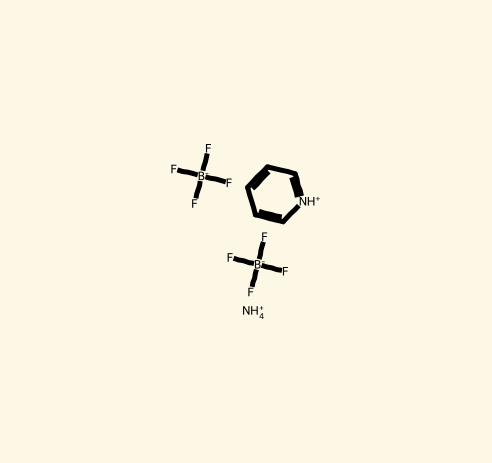 F[B-](F)(F)F.F[B-](F)(F)F.[NH4+].c1cc[nH+]cc1